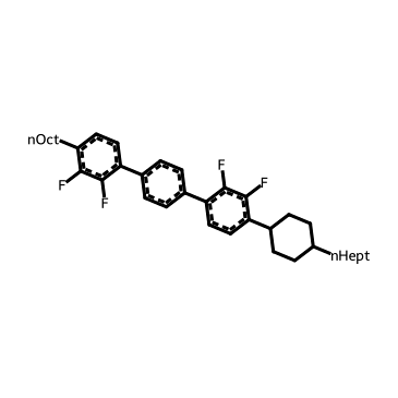 CCCCCCCCc1ccc(-c2ccc(-c3ccc(C4CCC(CCCCCCC)CC4)c(F)c3F)cc2)c(F)c1F